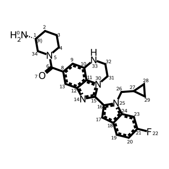 N[C@@H]1CCCN(C(=O)c2cc3c4c(c2)nc(-c2cc5ccc(F)cc5n2CC2CC2)n4CCN3)C1